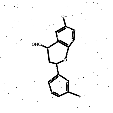 O=CC1CC(c2cccc(F)c2)Oc2ccc(O)cc21